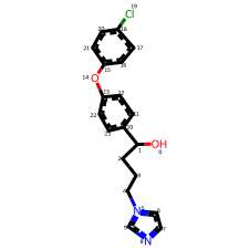 OC(CCCn1ccnc1)c1ccc(Oc2ccc(Cl)cc2)cc1